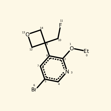 CCOc1ncc(Br)cc1C1(CF)COC1